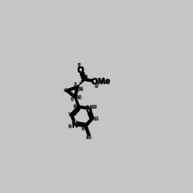 COC(=O)[C@H]1C[C@@H]1c1cnc(C)cn1